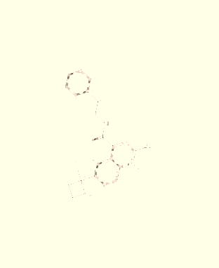 Nc1nc(C(=O)NCCc2ccccc2)c2cc(C3(C(=O)O)CCC3)ccc2n1